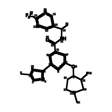 Cc1cnc(-c2cc(OC3CCN(C)CC3F)cc(C(=O)NC(C)c3cnc(C(F)(F)F)nc3)c2)s1